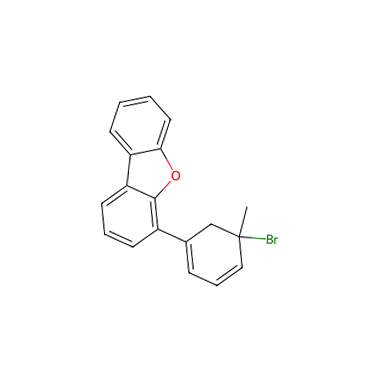 CC1(Br)C=CC=C(c2cccc3c2oc2ccccc23)C1